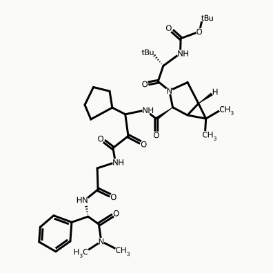 CN(C)C(=O)[C@@H](NC(=O)CNC(=O)C(=O)C(NC(=O)[C@@H]1C2[C@H](CN1C(=O)[C@@H](NC(=O)OC(C)(C)C)C(C)(C)C)C2(C)C)C1CCCC1)c1ccccc1